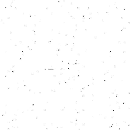 COC[C@@H]1O[C@H](C)C[C@H]1O